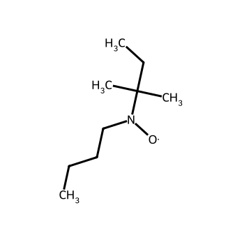 CCCCN([O])C(C)(C)CC